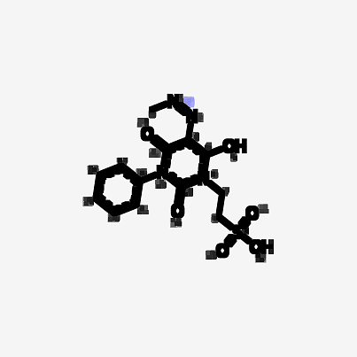 C/N=N\c1c(O)n(CCS(=O)(=O)O)c(=O)n(-c2ccccc2)c1=O